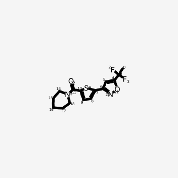 CC(F)(F)c1cc(-c2ccc(C(=O)N3CCCCC3)s2)no1